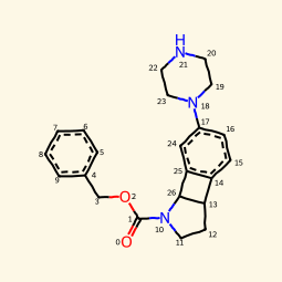 O=C(OCc1ccccc1)N1CCC2c3ccc(N4CCNCC4)cc3C21